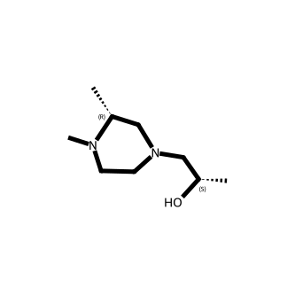 C[C@H](O)CN1CCN(C)[C@H](C)C1